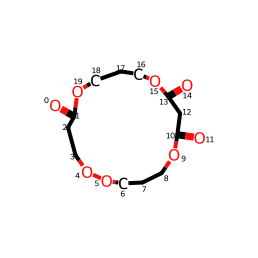 O=C1CCOOCCCOC(=O)CC(=O)OCCCO1